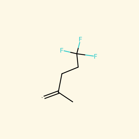 [CH]=C(C)CCC(F)(F)F